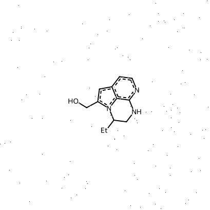 CCC1CNc2nccc3cc(CO)n1c23